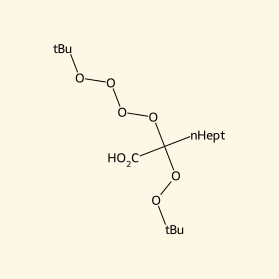 CCCCCCCC(OOOOC(C)(C)C)(OOC(C)(C)C)C(=O)O